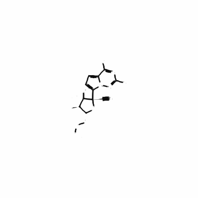 COC[C@H]1O[C@@](C#N)(c2ccc3c(O)nc(N)nn23)[C@](C)(O)[C@@H]1O